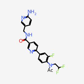 CC(=O)N(CC(F)F)c1ccc(-c2ccc(C(=O)NCc3ccc(N)nc3)cn2)cc1F